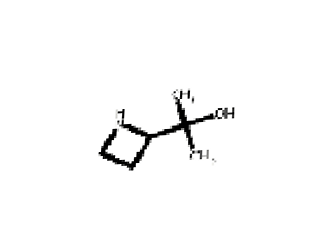 CC(C)(O)C1CCN1